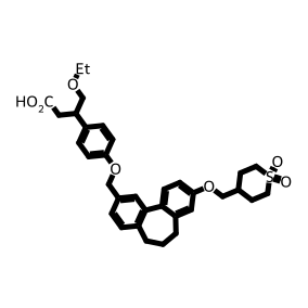 CCOCC(CC(=O)O)c1ccc(OCc2ccc3c(c2)-c2ccc(OCC4CCS(=O)(=O)CC4)cc2CCC3)cc1